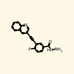 NNC(=O)c1ccc(F)c(C#Cc2cnc3ccccc3c2)c1